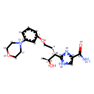 C[C@H](O)[C@H](CCOc1cccc(N2CCOCC2)c1)c1nc(C(N)=O)c[nH]1